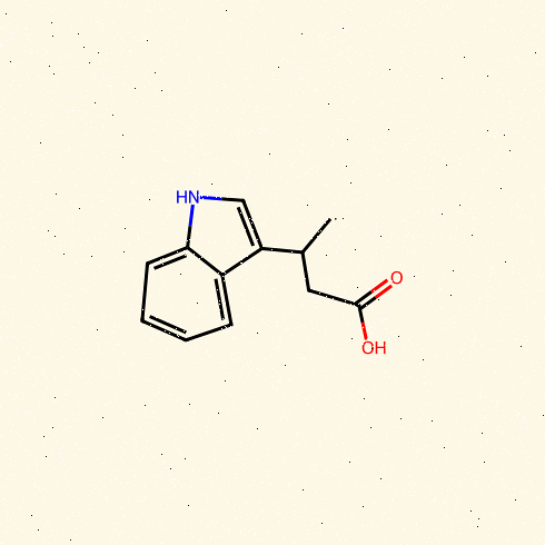 [CH2]C(CC(=O)O)c1c[nH]c2ccccc12